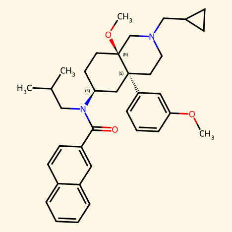 COc1cccc([C@@]23CCN(CC4CC4)C[C@@]2(OC)CC[C@H](N(CC(C)C)C(=O)c2ccc4ccccc4c2)C3)c1